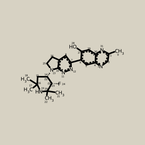 Cc1cnc2cc(-c3cc4c(nn3)N([C@H]3CC(C)(C)NC(C)(C)[C@H]3F)CC4)c(O)cc2n1